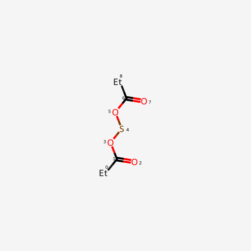 CCC(=O)OSOC(=O)CC